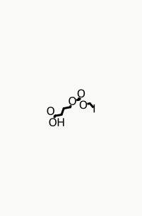 O=C(O)CCCOC(=O)OCI